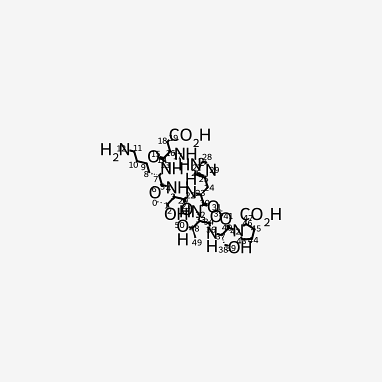 C[C@@H](O)[C@H](NC(=O)[C@H](CCCCN)NC(=O)[C@@H](N)CC(=O)O)C(=O)N[C@@H](Cc1c[nH]cn1)C(=O)N[C@H](C(=O)N[C@@H](CO)C(=O)N1CCC[C@H]1C(=O)O)[C@@H](C)O